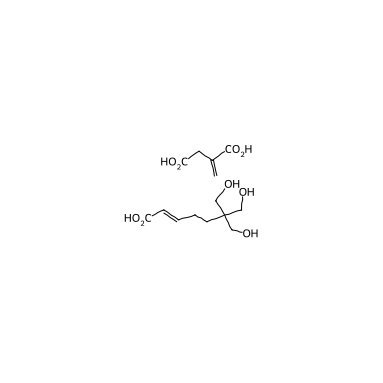 C=C(CC(=O)O)C(=O)O.O=C(O)C=CCCC(CO)(CO)CO